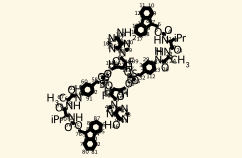 CC(C)C(NC(=O)OCC1c2ccccc2-c2ccccc21)C(=O)N[C@@H](C)C(=O)Nc1ccc(CSP2(=O)OC[C@H]3O[C@@H](n4cnc5c(O)ncnc54)[C@H](F)[C@@H]3OP(=O)(SCc3ccc(NC(=O)[C@H](C)NC(=O)[C@@H](NC(=O)OCC4c5ccccc5-c5ccccc54)C(C)C)cc3)OC[C@H]3O[C@@H](n4cnc5c(N)ncnc54)[C@H](F)[C@@H]3O2)cc1